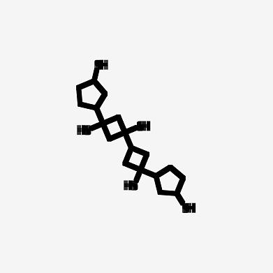 SC1CCC(C2(S)CC(C3(S)CC(S)(C4CCC(S)C4)C3)C2)C1